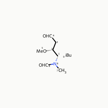 CC[C@H](C)[C@@H]([C@@H](CC=O)OC)N(C)C=O